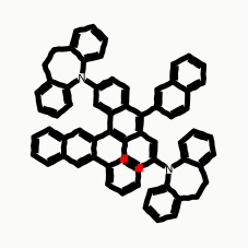 c1ccc(-c2cc3ccccc3cc2-c2c3ccc(N4c5ccccc5CCc5ccccc54)cc3c(-c3ccc4ccccc4c3)c3ccc(N4c5ccccc5CCc5ccccc54)cc23)cc1